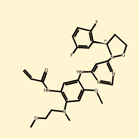 C=CC(=O)Nc1cc(Nc2cc(N3OCC[C@@H]3c3cc(F)ccc3F)ncn2)c(OC)cc1N(C)CCOC